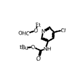 CC(C)(C)OC(=O)Nc1cncc(Cl)c1.CCOC=O